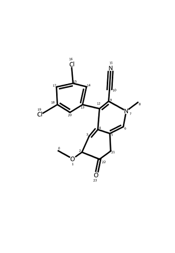 COC1C=C2C(=CN(C)C(C#N)=C2c2cc(Cl)cc(Cl)c2)CC1=O